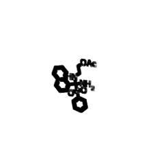 CC(=O)OCCNC(N)(c1cccc2ccccc12)S(=O)(=O)c1ccccc1